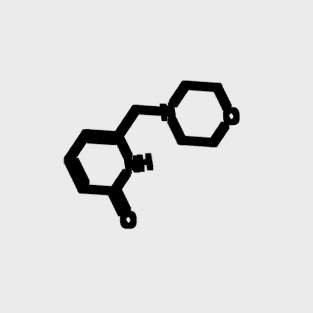 O=c1cccc(CN2CCOCC2)[nH]1